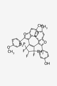 BC1(F)C(c2c(-c3ccc(O)cc3)oc3cc(C)ccc23)=C(c2c(-c3ccc(OC)cc3)oc3cc(C)ccc23)C(F)(P)C1F